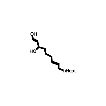 CCCCCCCCC=CCCCC(O)C=CO